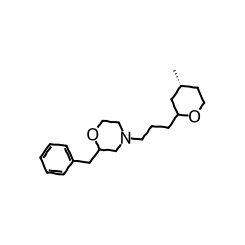 C[C@@H]1CCOC(CCCN2CCOC(Cc3ccccc3)C2)C1